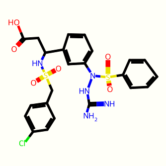 N=C(N)NN(c1cccc(C(CC(=O)O)NS(=O)(=O)Cc2ccc(Cl)cc2)c1)S(=O)(=O)c1ccccc1